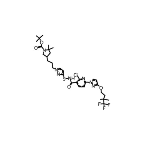 CC(C)(C)OC(=O)N1CC(CCCn2ccc(SNC(=O)c3ccc(-n4ccc(OCCC(C)(C)C(F)(F)F)n4)nc3Cl)n2)CC1(C)C